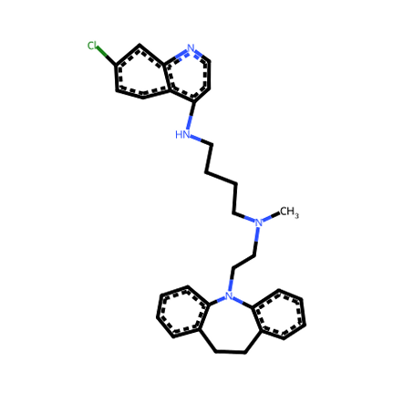 CN(CCCCNc1ccnc2cc(Cl)ccc12)CCN1c2ccccc2CCc2ccccc21